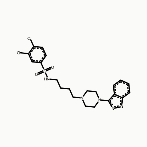 O=S(=O)(NCCCCN1CCN(c2noc3ccccc23)CC1)c1ccc(Cl)c(Cl)c1